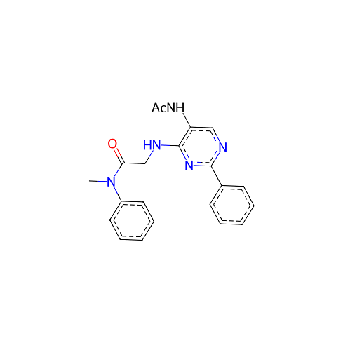 CC(=O)Nc1cnc(-c2ccccc2)nc1NCC(=O)N(C)c1ccccc1